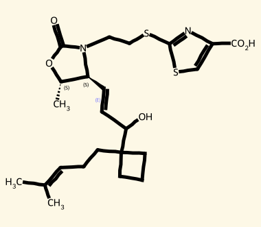 CC(C)=CCCC1(C(O)/C=C/[C@H]2[C@H](C)OC(=O)N2CCSc2nc(C(=O)O)cs2)CCC1